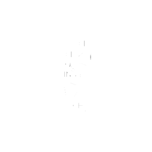 [CH2]c1ccc(NS(=O)(=O)c2cccc(Cl)c2Cl)cc1